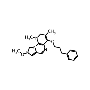 CON1C=C2C=NC3=C(N(C)CC(C)=C3OCCCc3ccccc3)N2C1